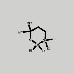 CCCC1(CCC)CC[Si](CC)(CC)[Si](CC)(CC)O1